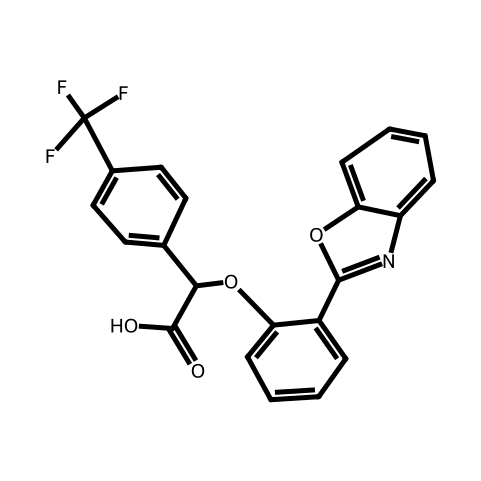 O=C(O)C(Oc1ccccc1-c1nc2ccccc2o1)c1ccc(C(F)(F)F)cc1